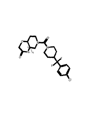 O=C1COC2CCN(C(=O)N3CCC(C(F)(F)c4ccc(Cl)cc4)CC3)C[C@H]2N1